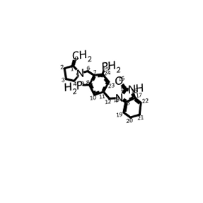 C=C1CCCN1Cc1c(P)cc(Cn2c(=O)[nH]c3c2=CCCC=3)cc1P